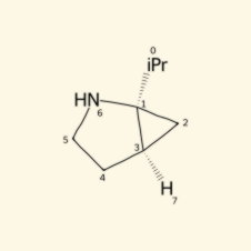 CC(C)[C@]12C[C@H]1CCN2